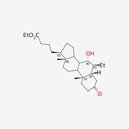 CCOC(=O)CCC[C@H]1CCC2C3C(CC[C@@]21C)[C@@]1(C)CCC(=O)C[C@H]1[C@H](CC)[C@H]3O